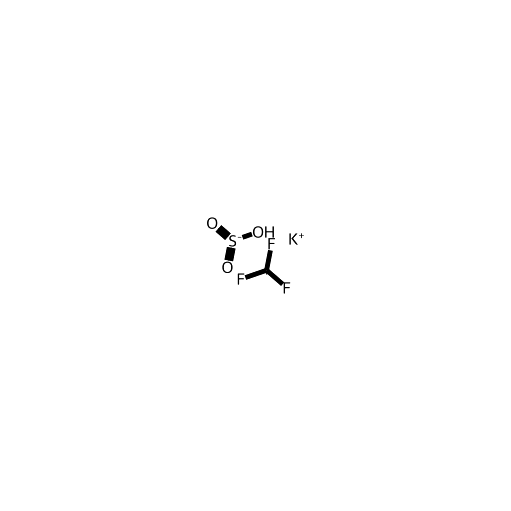 F[C](F)F.O=[S-](=O)O.[K+]